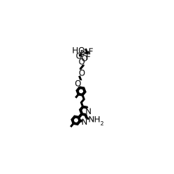 Cc1ccc2c(c1)nc(N)c1ncc(CCc3ccc(OCCOCCOOP(=O)(O)C(C)(F)F)cc3C)cc12